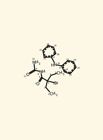 CCC(Br)(CC)C(=O)NC(N)=O.c1ccc(Nc2ccccc2)cc1